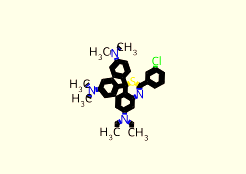 CCN(CC)c1ccc2c(c1)N=C(c1cccc(Cl)c1)SC2(c1ccc(N(C)C)cc1)c1ccc(N(C)C)cc1